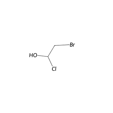 OC(Cl)CBr